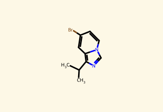 CC(C)c1ncn2ccc(Br)cc12